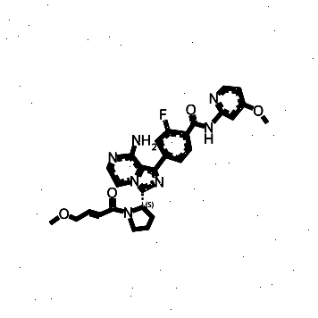 COCC=CC(=O)N1CCC[C@H]1c1nc(-c2ccc(C(=O)Nc3cc(OC)ccn3)c(F)c2)c2c(N)nccn12